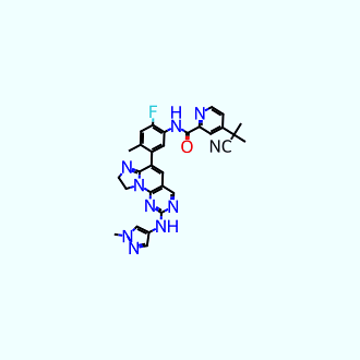 Cc1cc(F)c(NC(=O)c2cc(C(C)(C)C#N)ccn2)cc1C1=Cc2cnc(Nc3cnn(C)c3)nc2N2CCN=C12